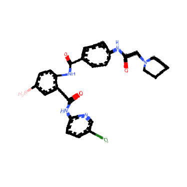 Bc1ccc(NC(=O)c2ccc(NC(=O)CN3CCCC3)cc2)c(C(=O)Nc2ccc(Cl)cn2)c1